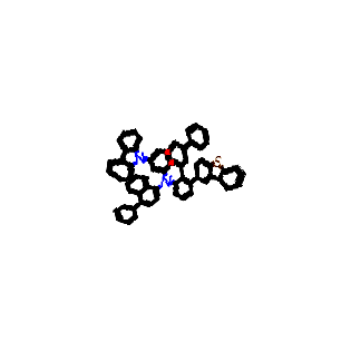 c1ccc(-c2cccc(-c3c(-c4ccc5sc6ccccc6c5c4)cccc3N(c3cccc(-n4c5ccccc5c5ccccc54)c3)c3ccc(-c4ccccc4)c4ccccc34)c2)cc1